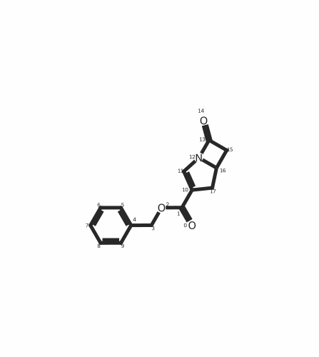 O=C(OCc1ccccc1)C1=CN2C(=O)CC2C1